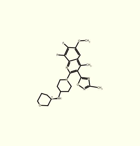 COc1cc2c(C)c(-c3nc(C)no3)c(N3CCC(N[C@@H]4CCCOC4)CC3)nc2c(F)c1F